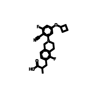 CC(Cc1ccc2c(c1F)CCN(c1cc(OC3CCC3)cc(F)c1C#N)C2)C(=O)O